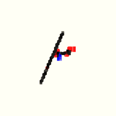 CCCCCCCCCCCCCCCCCCC(CCCCCCCCCCCCC)OC(=O)NCCCOC(C)(C)CO